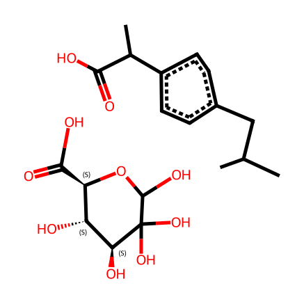 CC(C)Cc1ccc(C(C)C(=O)O)cc1.O=C(O)[C@H]1OC(O)C(O)(O)[C@@H](O)[C@@H]1O